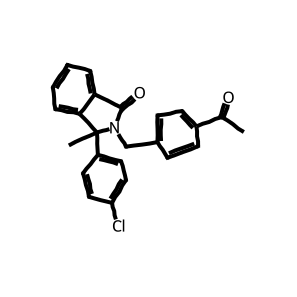 CC(=O)c1ccc(CN2C(=O)c3ccccc3C2(C)c2ccc(Cl)cc2)cc1